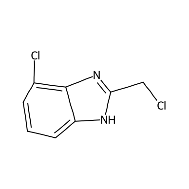 ClCc1nc2c(Cl)cccc2[nH]1